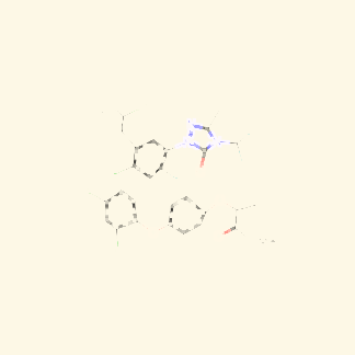 CCOC(=O)C(Cl)Cc1cc(-n2nc(C)n(C(F)F)c2=O)c(F)cc1Cl.COC(=O)C(C)Oc1ccc(Oc2ccc(Cl)cc2Cl)cc1